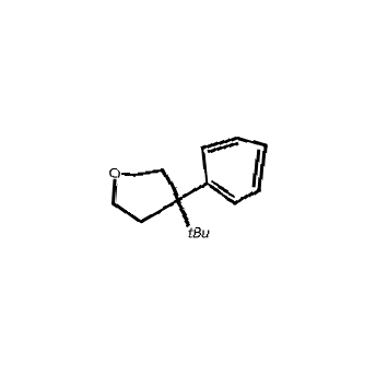 CC(C)(C)C1(c2ccccc2)CCOC1